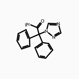 CC(C)C(=O)C(c1ccccc1)(c1ccccc1)n1cncn1